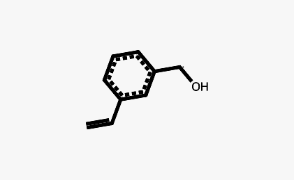 C=Cc1cccc([CH]O)c1